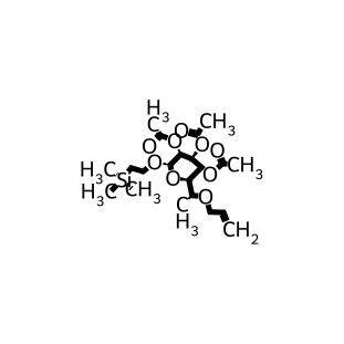 C=CCO[C@H](C)[C@H]1O[C@H](OCC[Si](C)(C)C)[C@H](OC(C)=O)[C@@H](OC(C)=O)[C@H]1OC(C)=O